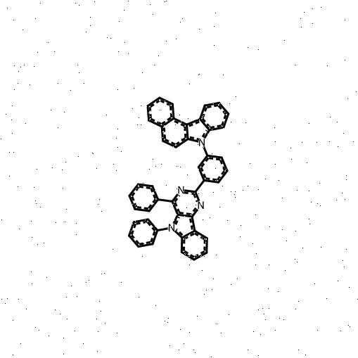 c1ccc(-c2nc(-c3cccc(-n4c5ccccc5c5c6ccccc6ccc54)c3)nc3c4ccccc4n(-c4ccccc4)c23)cc1